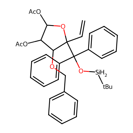 C=CC1(C(O[SiH2]C(C)(C)C)(c2ccccc2)c2ccccc2)OC(OC(C)=O)C(OC(C)=O)C1OCc1ccccc1